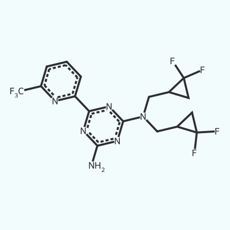 Nc1nc(-c2cccc(C(F)(F)F)n2)nc(N(CC2CC2(F)F)CC2CC2(F)F)n1